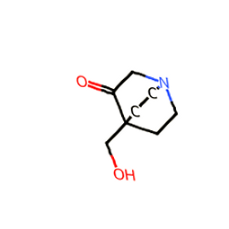 O=C1CN2CCC1(CO)CC2